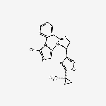 CC1(c2nc(N3CN=C4c5ccccc5-n5c(cnc5Cl)N43)no2)CC1